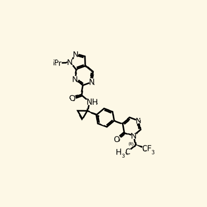 CC(C)n1ncc2cnc(C(=O)NC3(c4ccc(-c5cncn([C@H](C)C(F)(F)F)c5=O)cc4)CC3)nc21